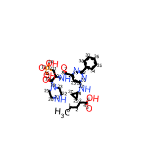 CCCCC(=O)O.O=C(NC(CP(=O)(O)O)C(=O)N1CCNCC1)c1cc(NC2CC2)nc(-c2ccccc2)n1